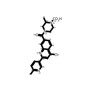 Cc1ccc(-c2cc(Cl)c3ccc(C(=O)N4CCN(C(=O)O)C(C)C4)cc3n2)cn1